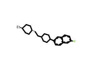 CC[C@H]1CC[C@H](CCC2CCC(c3ccc4cc(F)ccc4c3)CC2)CC1